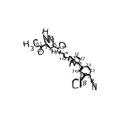 CC(=O)c1cc(C(=O)NCCn2ccc(C3=CC(Cl)C(C#N)C=C3)n2)n[nH]1